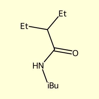 CCC(C)NC(=O)C(CC)CC